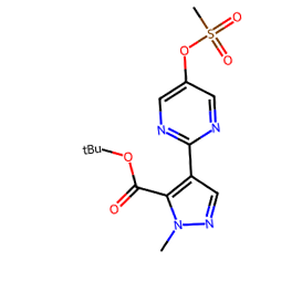 Cn1ncc(-c2ncc(OS(C)(=O)=O)cn2)c1C(=O)OC(C)(C)C